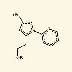 CCCc1cc(CCC=O)n(-c2ccccn2)n1